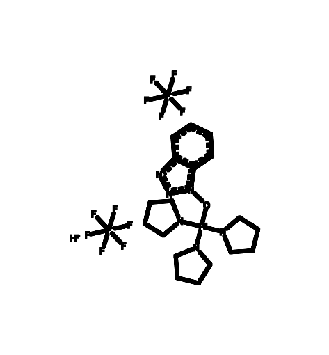 F[P-](F)(F)(F)(F)F.F[P-](F)(F)(F)(F)F.[H+].c1ccc2c(c1)nnn2O[P+](N1CCCC1)(N1CCCC1)N1CCCC1